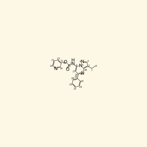 CCc1cnn2c(NC(=O)Oc3cccnc3)cc(-c3ccccc3)nc12